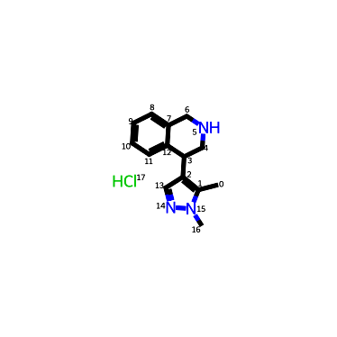 Cc1c(C2CNCc3ccccc32)cnn1C.Cl